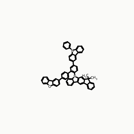 CC1(C)c2ccccc2-c2cc3c4ccccc4n(-c4ccc(-c5ccc6c(c5)c5ccccc5n6-c5ccccc5)cc4-c4ccc(-c5ccc6oc7ccccc7c6c5)cc4)c3cc21